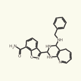 NC(=O)c1cccc2c(C3NC4=C(CC=CC=N4)C(NCc4ccccc4)N3)noc12